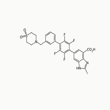 Cc1nc2c(C(=O)O)cc(-c3c(F)c(F)c(-c4cccc(CN5CCS(=O)(=O)CC5)c4)c(F)c3F)cc2[nH]1